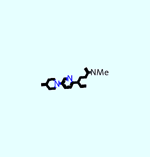 C=CC(CCC(=C)NC)c1ccc(N2CCC(=C)CC2)cn1